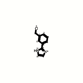 ClCc1cccc(-c2ncc[nH]2)c1